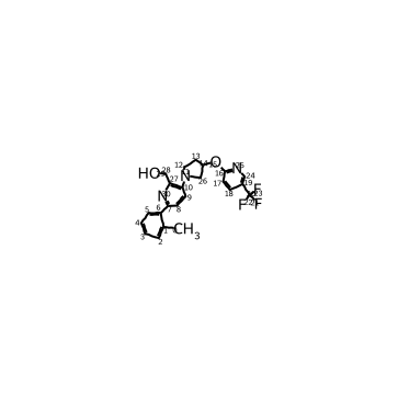 Cc1ccccc1-c1ccc(N2CCC(Oc3ccc(C(F)(F)F)cn3)C2)c(CO)n1